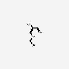 CC(C)(C)CN/C=C(\C=N)[N+](=O)[O-]